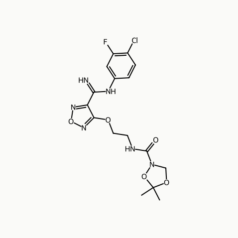 CC1(C)OCN(C(=O)NCCOc2nonc2C(=N)Nc2ccc(Cl)c(F)c2)O1